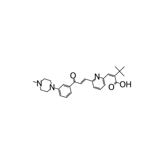 CN1CCN(c2cccc(C(=O)C=Cc3cccc(C=C(C(=O)O)C(C)(C)C)n3)c2)CC1